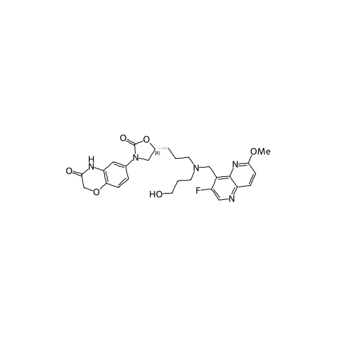 COc1ccc2ncc(F)c(CN(CCCO)CCC[C@@H]3CN(c4ccc5c(c4)NC(=O)CO5)C(=O)O3)c2n1